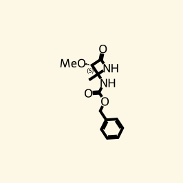 CO[C@@H]1C(=O)NC1(C)NC(=O)OCc1ccccc1